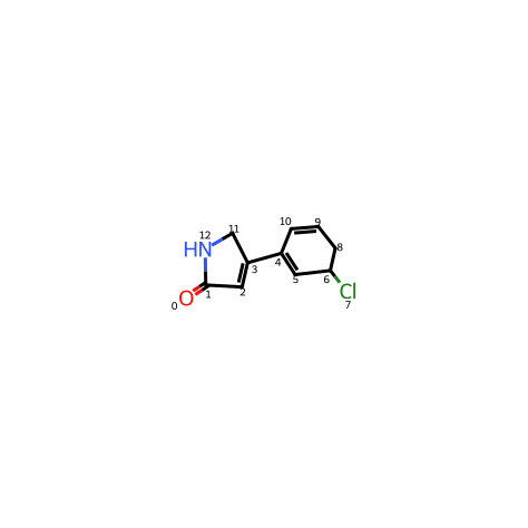 O=C1C=C(C2=CC(Cl)CC=C2)CN1